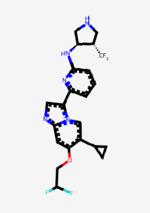 FC(F)COc1cc2ncc(-c3cccc(N[C@H]4CNC[C@@H]4C(F)(F)F)n3)n2cc1C1CC1